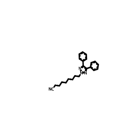 N#CCCCCCCCCn1nc(-c2ccccc2)c(-c2ccccc2)n1